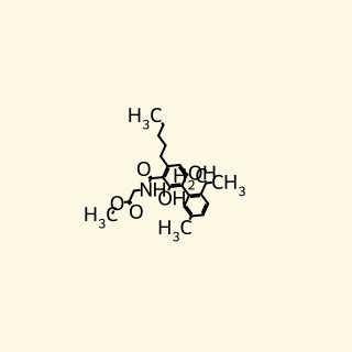 C=C(C)c1ccc(C)cc1-c1c(O)cc(CCCCC)c(C(=O)NCC(=O)OC)c1O